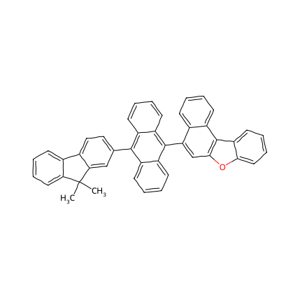 CC1(C)c2ccccc2-c2ccc(-c3c4ccccc4c(-c4cc5oc6ccccc6c5c5ccccc45)c4ccccc34)cc21